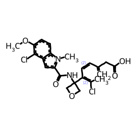 C=C(/C=C\C(=C(/C)Cl)C1(NC(=O)c2cc3c(Cl)c(OC)ccc3n2C)COC1)CC(=O)O